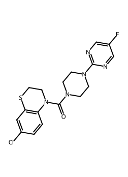 O=C(N1CCN(c2ncc(F)cn2)CC1)N1CCSc2cc(Cl)ccc21